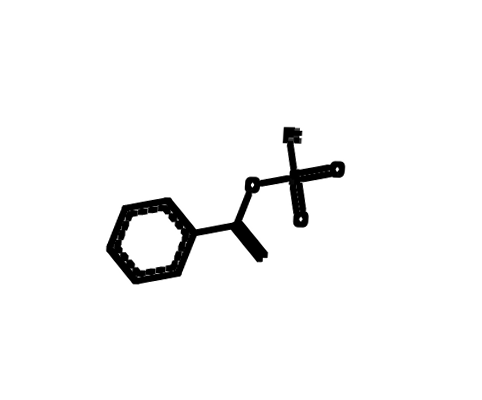 C=C(OS(=O)(=O)CC)c1ccccc1